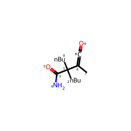 CCCCC(CCCC)(C(N)=O)C(C)=C=O